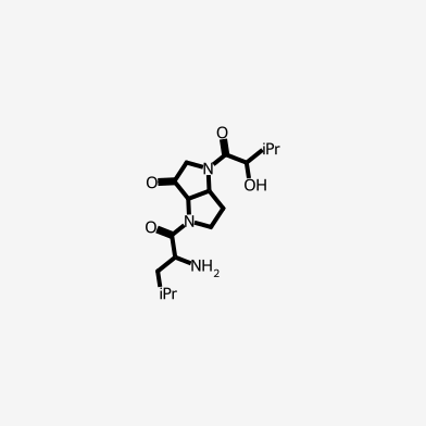 CC(C)CC(N)C(=O)N1CCC2C1C(=O)CN2C(=O)C(O)C(C)C